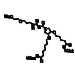 CCCCCCCCOC(=O)CCCCOC1CN(C(=O)OC(=O)NCCCOCCOC)CC1OCCCCCCC(=O)OCCCCCC